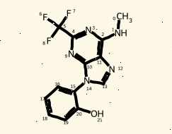 CNc1nc(C(F)(F)F)nc2c1ncn2-c1ccccc1O